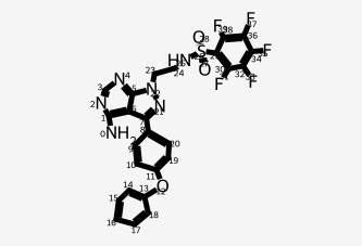 Nc1ncnc2c1c(-c1ccc(Oc3ccccc3)cc1)nn2CCNS(=O)(=O)c1c(F)c(F)c(F)c(F)c1F